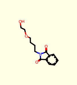 O=C1c2ccccc2C(=O)N1CCCCOCCO